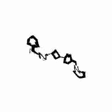 C[C@H](c1ccccc1)N(C)C[C@H]1C[C@H](c2ccc(CN3CCCC3)cc2)C1